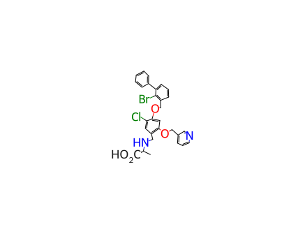 C[C@H](NCc1cc(Cl)c(OCc2cccc(-c3ccccc3)c2Br)cc1OCc1cccnc1)C(=O)O